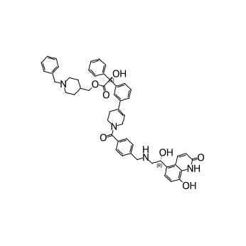 O=C(c1ccc(CNC[C@H](O)c2ccc(O)c3[nH]c(=O)ccc23)cc1)N1CC=C(c2cccc([C@](O)(C(=O)OCC3CCN(Cc4ccccc4)CC3)c3ccccc3)c2)CC1